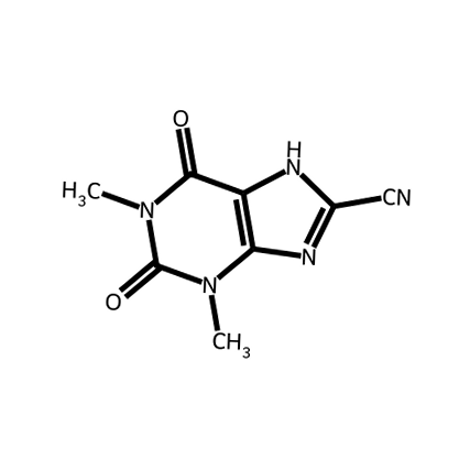 Cn1c(=O)c2[nH]c(C#N)nc2n(C)c1=O